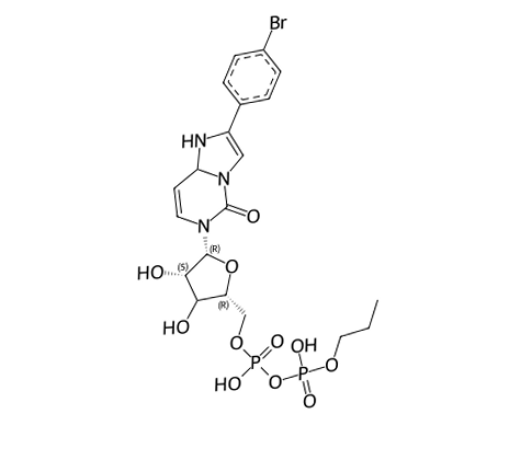 CCCOP(=O)(O)OP(=O)(O)OC[C@H]1O[C@@H](N2C=CC3NC(c4ccc(Br)cc4)=CN3C2=O)[C@@H](O)C1O